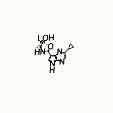 CC[C@@](C)(O)[C@@H](C)NC(=O)c1c[nH]c2ncc(C3CC3)nc12